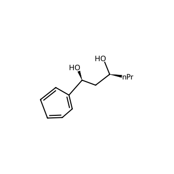 CCC[C@H](O)C[C@H](O)c1ccccc1